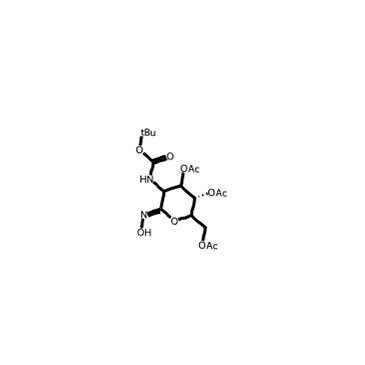 CC(=O)OCC1O/C(=N\O)C(NC(=O)OC(C)(C)C)C(OC(C)=O)[C@@H]1OC(C)=O